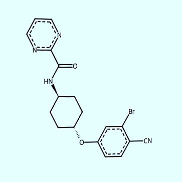 N#Cc1ccc(O[C@H]2CC[C@H](NC(=O)c3ncccn3)CC2)cc1Br